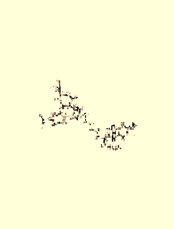 CCCCCCCN(CCCCCSc1nc(-c2ccc(N(C)C)cc2)c(-c2ccc(N(C)C)cc2)[nH]1)C(=O)Nc1ccc(F)cc1F